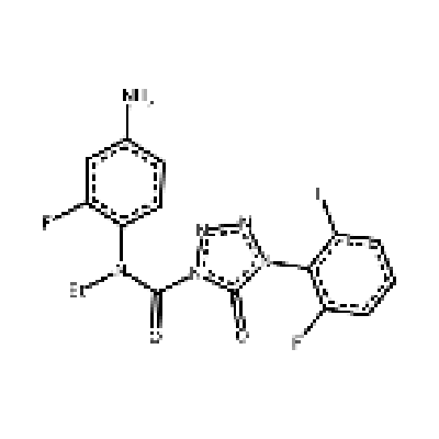 CCN(C(=O)n1nnn(-c2c(F)cccc2F)c1=O)c1ccc(N)cc1F